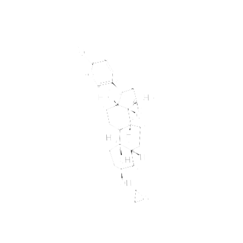 C1CO1.C[C@]12CC[C@H](O)C[C@H]1CC[C@@H]1[C@@H]2CC[C@]2(C)[C@@H](c3ccc(=O)oc3)C[C@H]3O[C@]132